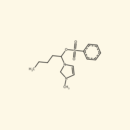 CCCCC(OS(=O)(=O)c1ccccc1)N1C=CN(C)C1